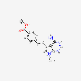 COC(=O)c1ccc(C=Cc2cn(C)c3ncnc(N)c23)cc1